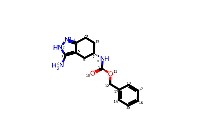 Nc1[nH]nc2c1C[C@@H](NC(=O)OCc1ccccc1)CC2